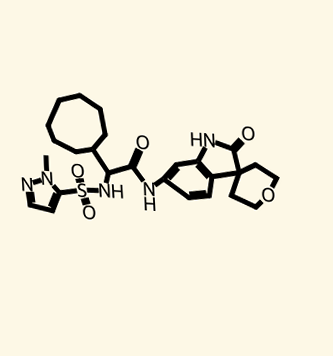 Cn1nccc1S(=O)(=O)NC(C(=O)Nc1ccc2c(c1)NC(=O)C21CCOCC1)C1CCCCCCC1